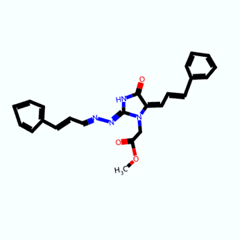 COC(=O)CN1C(=CC=Cc2ccccc2)C(=O)NC1=NN=CC=Cc1ccccc1